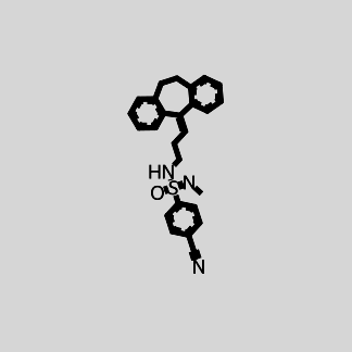 CN=S(=O)(NCCC=C1c2ccccc2CCc2ccccc21)c1ccc(C#N)cc1